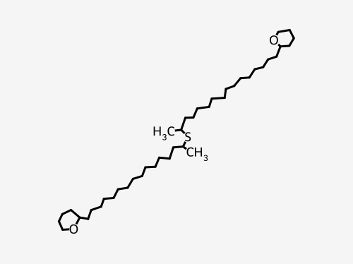 CC(CCCCCCCCCCCCCCC1CCCCO1)SC(C)CCCCCCCCCCCCCCC1CCCCO1